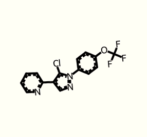 FC(F)(F)Oc1ccc(-n2ncc(-c3ccccn3)c2Cl)cc1